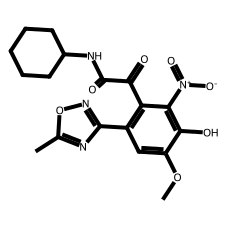 COc1cc(-c2noc(C)n2)c(C(=O)C(=O)NC2CCCCC2)c([N+](=O)[O-])c1O